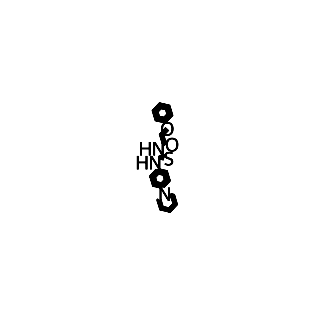 O=C(COc1ccccc1)NC(=S)Nc1ccc(N2CCCCC2)cc1